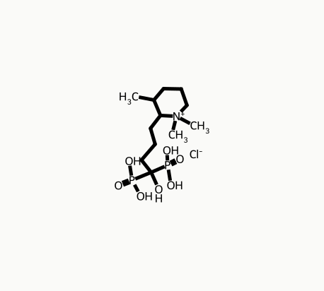 CC1CCC[N+](C)(C)C1CCCC(O)(P(=O)(O)O)P(=O)(O)O.[Cl-]